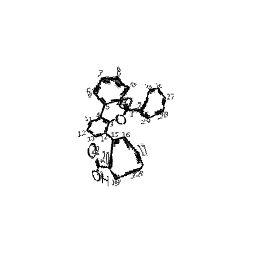 O=C(Oc1c(-c2ccccc2)cccc1-c1ccccc1C(=O)O)c1ccccc1